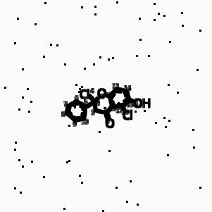 O=C1CC(Cl)(c2ccccc2)Oc2ccc(O)c(Cl)c21